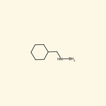 BNCC1CCCCC1